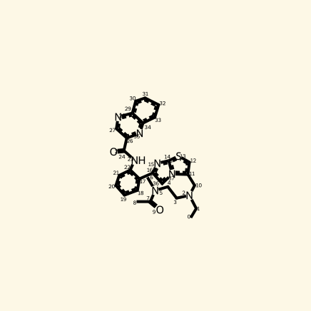 CCN(CCN(C)C(C)=O)Cc1csc2nc(-c3ccccc3NC(=O)c3cnc4ccccc4n3)cn12